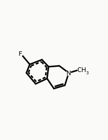 CN1C=Cc2ccc(F)cc2C1